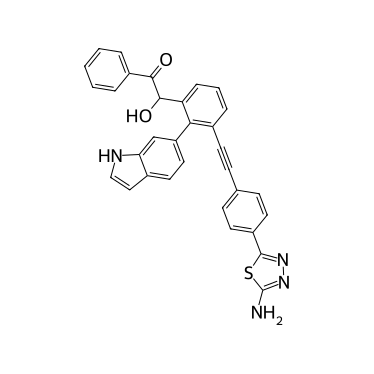 Nc1nnc(-c2ccc(C#Cc3cccc(C(O)C(=O)c4ccccc4)c3-c3ccc4cc[nH]c4c3)cc2)s1